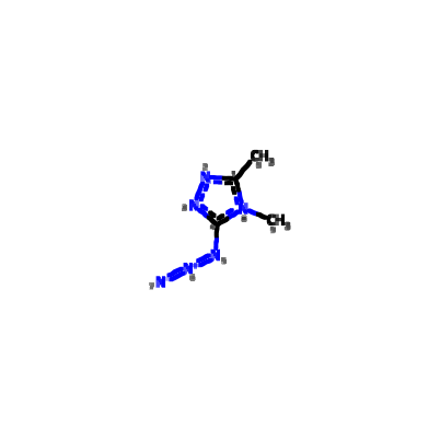 Cc1nnc(N=[N+]=[N-])n1C